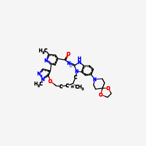 Cc1cc2cc(n1)-c1cnn(C)c1OCCC[C@@H](C)CN1/C(=N/C2=O)Nc2ccc(N3CCC4(CC3)OCCO4)cc21